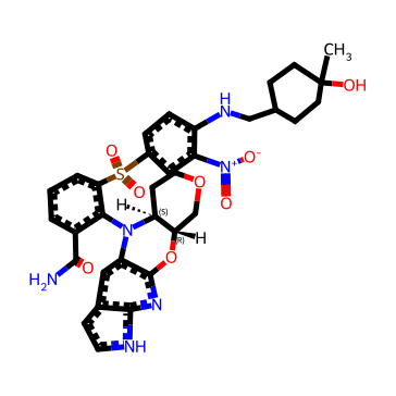 CC1(O)CCC(CNc2ccc(S(=O)(=O)c3cccc(C(N)=O)c3N3c4cc5cc[nH]c5nc4O[C@H]4COCC[C@@H]43)cc2[N+](=O)[O-])CC1